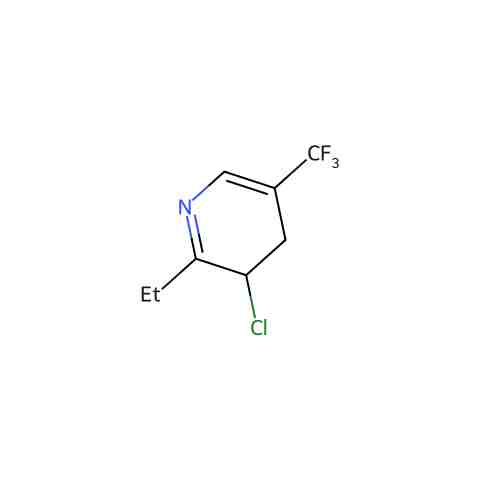 CCC1=NC=C(C(F)(F)F)CC1Cl